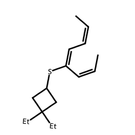 C\C=C/C=C(\C=C/C)SC1CC(CC)(CC)C1